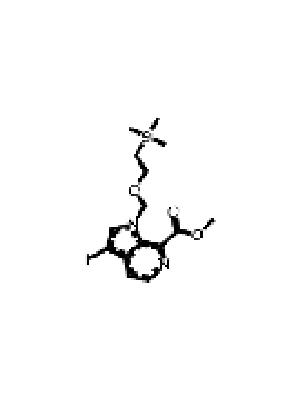 COC(=O)c1nccc2c(I)cn(COCC[Si](C)(C)C)c12